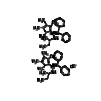 CCC(C)[NH][Hf+]([C]1=C(C)C(C)=C(C)C1C)[SiH](c1ccccc1)c1ccccc1.CCC(C)[NH][Hf+]([C]1=C(C)C(C)=C(C)C1C)[SiH](c1ccccc1)c1ccccc1.[Cl-].[Cl-]